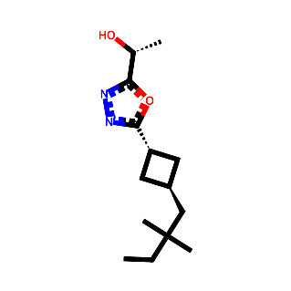 CCC(C)(C)C[C@H]1C[C@H](c2nnc([C@@H](C)O)o2)C1